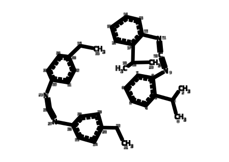 CC(C)c1ccccc1N=C=Nc1ccccc1C(C)C.CCc1ccc(N=C=Nc2ccc(CC)cc2)cc1